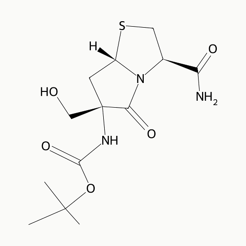 CC(C)(C)OC(=O)N[C@]1(CO)C[C@@H]2SC[C@@H](C(N)=O)N2C1=O